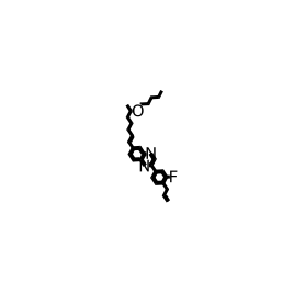 C=CCc1ccc(-c2cnc3cc(C=CCCCC(C)OCCCCC)ccc3n2)cc1F